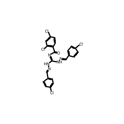 O=C(N=C(NN=Cc1ccc(Cl)cc1)NN=Cc1ccc(Cl)cc1)c1ccc(Cl)cc1Cl